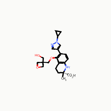 C[C@@]1(C(=O)O)CCc2c(ccc(-c3cnn(C4CC4)c3)c2OCC2(CO)COC2)N1